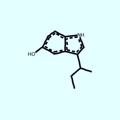 CCC(C)c1c[nH]c2ccc(O)cc12